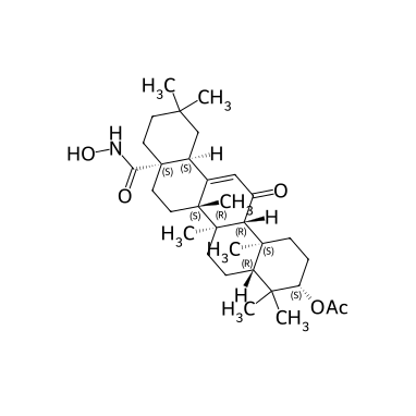 CC(=O)O[C@H]1CC[C@]2(C)[C@H]3C(=O)C=C4[C@@H]5CC(C)(C)CC[C@]5(C(=O)NO)CC[C@@]4(C)[C@]3(C)CC[C@H]2C1(C)C